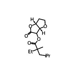 CCC(C)(CC(C)C)C(=O)OC1C(=O)O[C@@H]2CCO[C@H]12